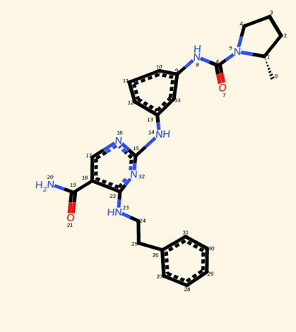 C[C@H]1CCCN1C(=O)Nc1cccc(Nc2ncc(C(N)=O)c(NCCc3ccccc3)n2)c1